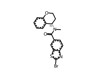 CN(C(=O)c1ccc2nc(Br)sc2c1)[C@H]1CCOc2ccccc21